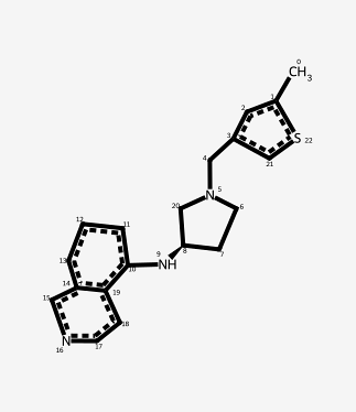 Cc1cc(CN2CC[C@@H](Nc3cccc4cnccc34)C2)cs1